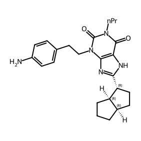 CCCn1c(=O)c2[nH]c([C@@H]3CC[C@H]4CCC[C@H]43)nc2n(CCc2ccc(N)cc2)c1=O